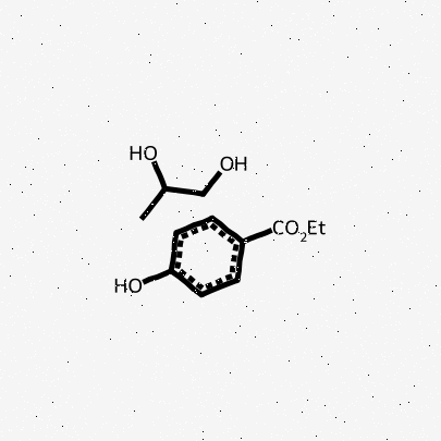 CC(O)CO.CCOC(=O)c1ccc(O)cc1